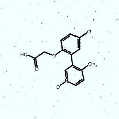 Cc1cc[n+]([O-])cc1-c1cc(Cl)ccc1OCC(=O)O